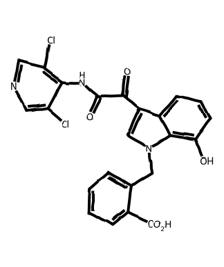 O=C(Nc1c(Cl)cncc1Cl)C(=O)c1cn(Cc2ccccc2C(=O)O)c2c(O)cccc12